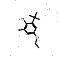 CCOc1cc(C)c(O)c(C(C)(C)C)c1